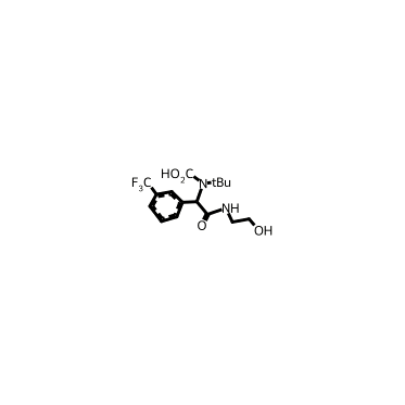 CC(C)(C)N(C(=O)O)C(C(=O)NCCO)c1cccc(C(F)(F)F)c1